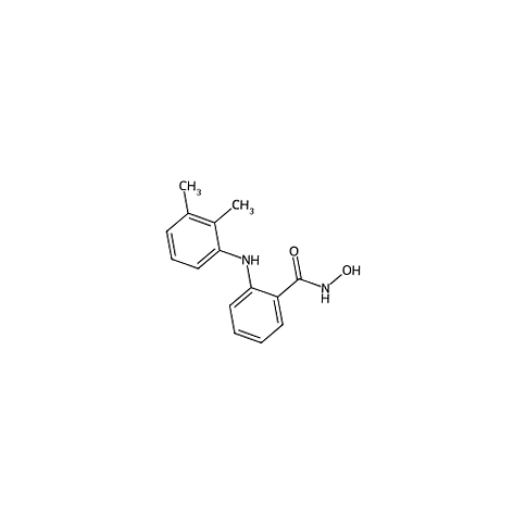 Cc1cccc(Nc2ccccc2C(=O)NO)c1C